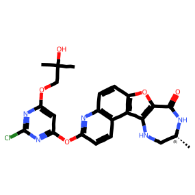 C[C@@H]1CNc2c(oc3ccc4nc(Oc5cc(OCC(C)(C)O)nc(Cl)n5)ccc4c23)C(=O)N1